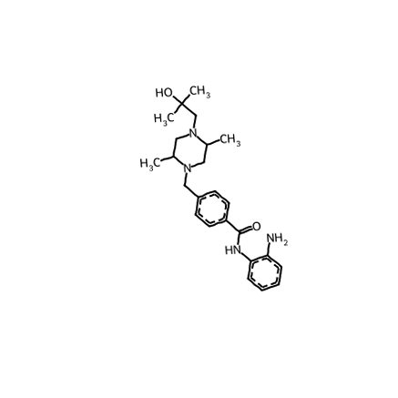 CC1CN(CC(C)(C)O)C(C)CN1Cc1ccc(C(=O)Nc2ccccc2N)cc1